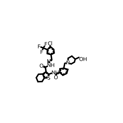 O=C(Nc1sc2c(c1C(=O)NN=Cc1ccc(Cl)c(C(F)(F)F)c1)CCCC2)c1cccc(CN2CCC(CO)CC2)c1